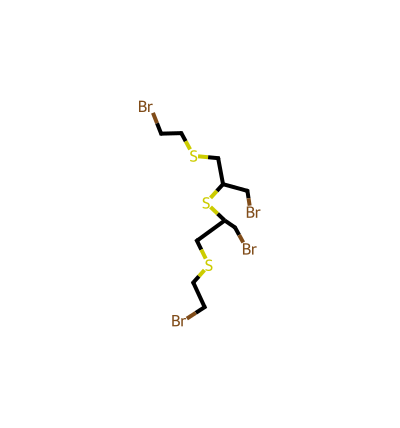 BrCCSCC(CBr)SC(CBr)CSCCBr